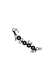 C=CCCCOc1ccc(OC(=O)c2ccc(-c3ccc(-c4ccc(C(O)CCC)cc4)c(F)c3F)cc2)cc1F